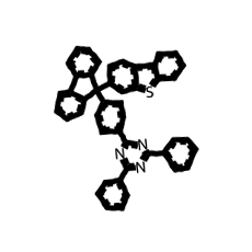 c1ccc(-c2nc(-c3ccccc3)nc(-c3ccc(C4(c5ccc6c(c5)sc5ccccc56)c5ccccc5-c5ccccc54)cc3)n2)cc1